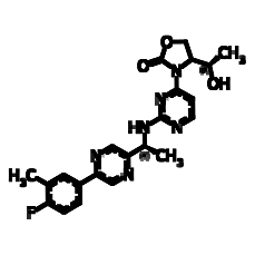 Cc1cc(-c2cnc([C@H](C)Nc3nccc(N4C(=O)OCC4[C@@H](C)O)n3)cn2)ccc1F